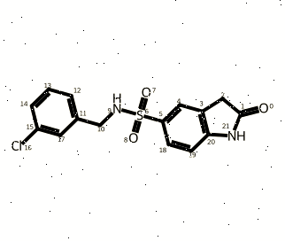 O=C1Cc2cc(S(=O)(=O)NCc3cccc(Cl)c3)ccc2N1